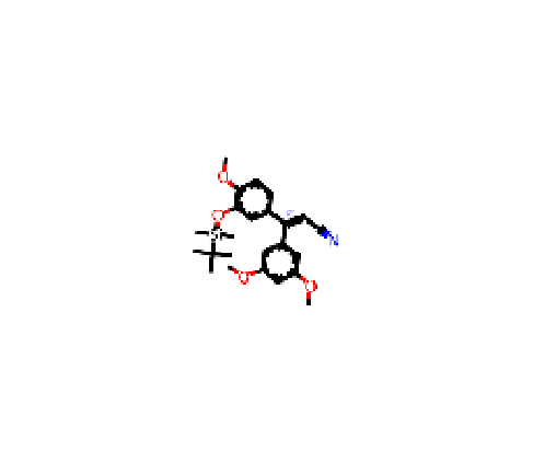 COc1cc(OC)cc(/C(=C\C#N)c2ccc(OC)c(O[Si](C)(C)C(C)(C)C)c2)c1